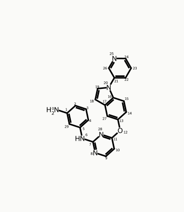 Nc1cccc(Nc2nccc(Oc3ccc4c(ccn4-c4cccnc4)c3)n2)c1